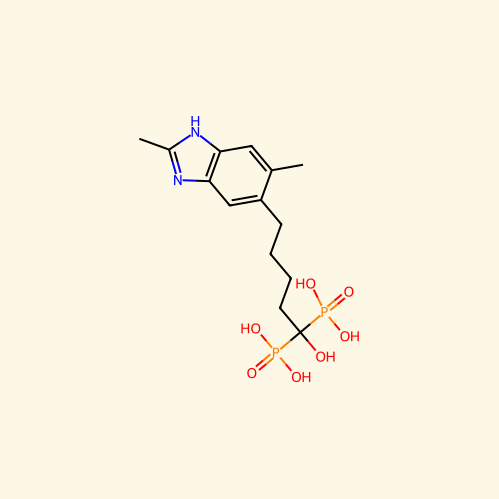 Cc1nc2cc(CCCCC(O)(P(=O)(O)O)P(=O)(O)O)c(C)cc2[nH]1